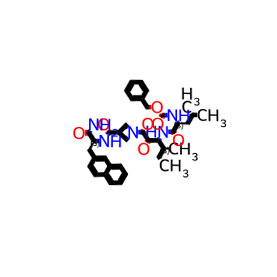 CC[C@H](C)C(NC(=O)[C@H](CC(C)C)NC(=O)OCc1ccccc1)C(=O)C(=O)N1CC(C(=O)N[C@@H](Cc2ccc3ccccc3c2)C(N)=O)C1